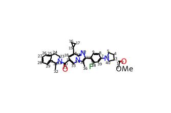 COC(=O)[C@H]1CCN(c2ccc(-c3nc4c(C5CC5)cc(C(=O)N5CCc6ccccc6C5C)cn4c3C)c(F)c2)C1